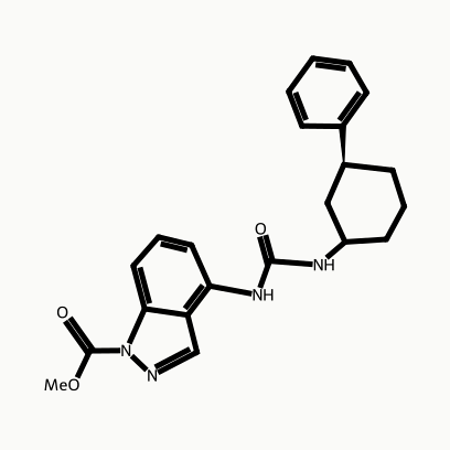 COC(=O)n1ncc2c(NC(=O)NC3CCC[C@H](c4ccccc4)C3)cccc21